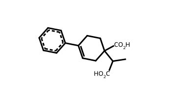 CC(C(=O)O)C1(C(=O)O)CC=C(c2ccccc2)CC1